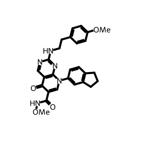 CONC(=O)c1cn(-c2ccc3c(c2)CCC3)c2nc(NCCc3ccc(OC)cc3)ncc2c1=O